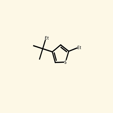 CCc1cc(C(C)(C)CC)cs1